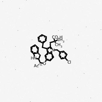 CC(=O)[C@@H](Oc1ccc2c(c1)c(Cc1ccccc1)c(CC(C)(C)C(=O)O)n2Cc1ccc(Cl)cc1)C1Cc2ccccc2N1